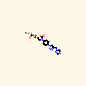 COC(=O)NC[C@H]1CN(c2ccc(-n3cc(Cn4cncn4)nn3)c(F)c2)C(=O)O1